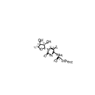 CCCCCC(=O)Nc1nc(=O)n([C@@H]2O[C@H](C)[C@@H](O)[C@H]2O)cc1F